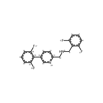 Fc1cccc(F)c1CNCc1ccc(-c2c(F)cccc2F)cn1